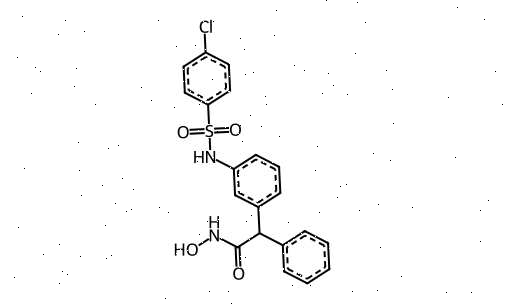 O=C(NO)C(c1ccccc1)c1cccc(NS(=O)(=O)c2ccc(Cl)cc2)c1